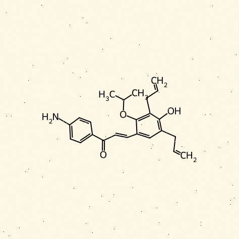 C=CCc1cc(/C=C/C(=O)c2ccc(N)cc2)c(OC(C)C)c(CC=C)c1O